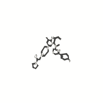 CCc1nc2c(C)cc(N3CCN(CC(=O)N4CCCC4)CC3)cn2c1N(C)C1=NC(c2ccc(F)cc2)=CSC1